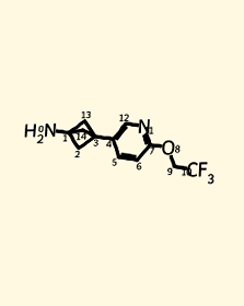 NC12CC(c3ccc(OCC(F)(F)F)nc3)(C1)C2